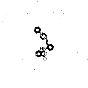 O=C1OC(Nc2ccccc2CCN2CCN(c3ccccc3)CC2)c2ccccc21